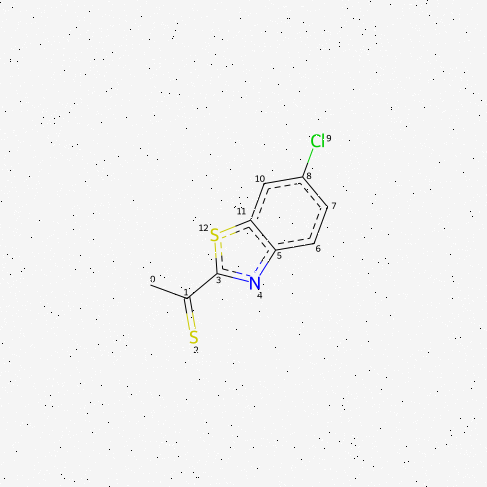 CC(=S)c1nc2ccc(Cl)cc2s1